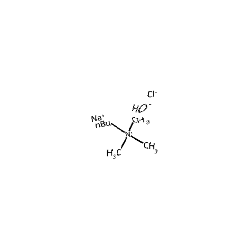 CCCC[N+](C)(C)C.[Cl-].[Na+].[OH-]